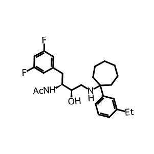 CCc1cccc(C2(NC[C@@H](O)[C@H](Cc3cc(F)cc(F)c3)NC(C)=O)CCCCCC2)c1